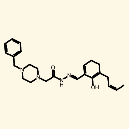 C/C=C\CC1=C(O)C(/C=N/NC(=O)CN2CCN(Cc3ccccc3)CC2)=CCC1